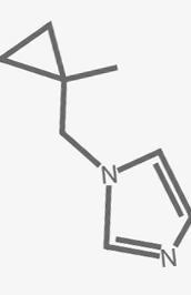 CC1(Cn2ccnc2)CC1